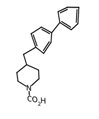 O=C(O)N1CCC(Cc2ccc(-c3ccccc3)cc2)CC1